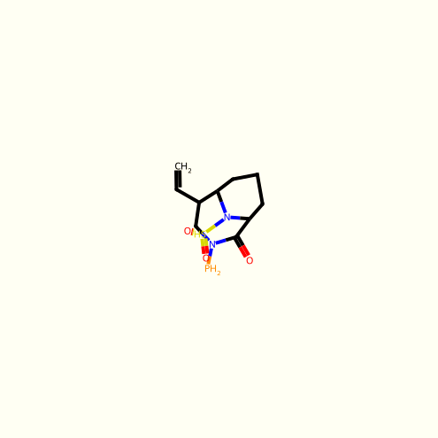 C=CC1CN(P)C(=O)C2CCCC1N2[SH](=O)=O